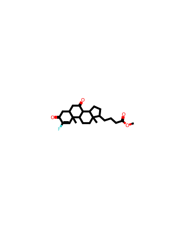 COC(=O)CCCC1CCC2C3C(=O)CC4CC(=O)C(F)=CC4(C)C3CCC12C